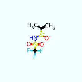 C=C(C)[S+]([O-])NS(=O)(=O)C(F)(F)F